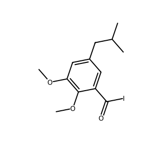 COc1cc(CC(C)C)cc(C(=O)I)c1OC